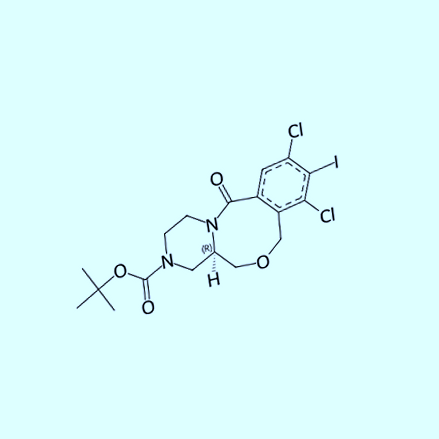 CC(C)(C)OC(=O)N1CCN2C(=O)c3cc(Cl)c(I)c(Cl)c3COC[C@H]2C1